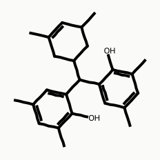 CC1=CC(C)CC(C(c2cc(C)cc(C)c2O)c2cc(C)cc(C)c2O)C1